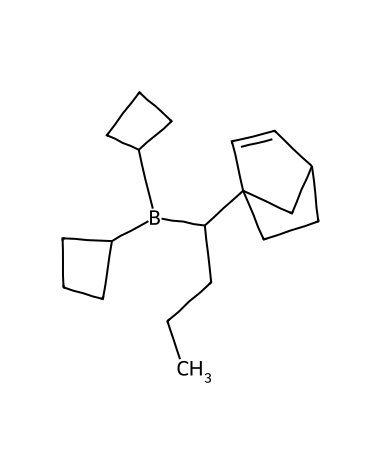 CCCC(B(C1CCC1)C1CCC1)C12C=CC(CC1)C2